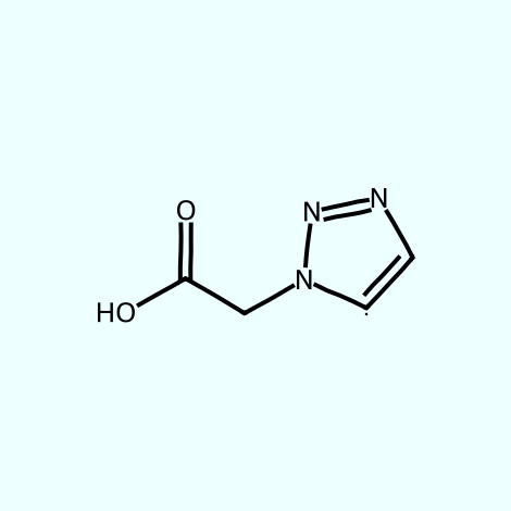 O=C(O)Cn1[c]cnn1